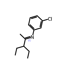 CCC(CC)/C(C)=N/c1cccc(Cl)c1